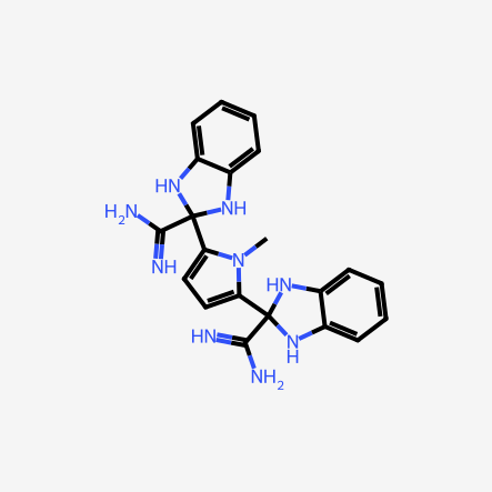 Cn1c(C2(C(=N)N)Nc3ccccc3N2)ccc1C1(C(=N)N)Nc2ccccc2N1